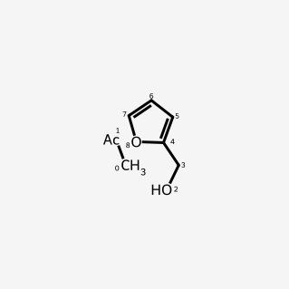 CC(C)=O.OCc1ccco1